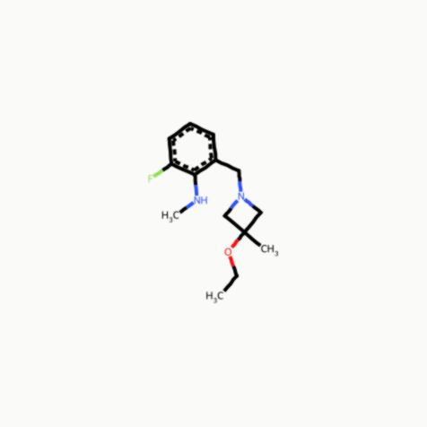 CCOC1(C)CN(Cc2cccc(F)c2NC)C1